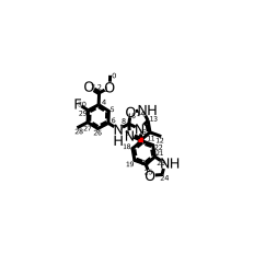 COC(=O)c1cc(NC23N=CC(C)=C(NO2)N3c2ccc3c(c2)NCO3)cc(C)c1F